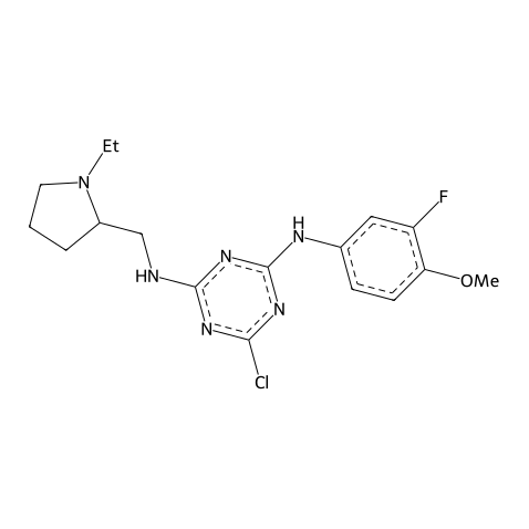 CCN1CCCC1CNc1nc(Cl)nc(Nc2ccc(OC)c(F)c2)n1